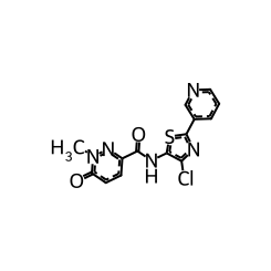 Cn1nc(C(=O)Nc2sc(-c3cccnc3)nc2Cl)ccc1=O